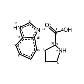 O=C(O)[C@@H]1CCCN1.c1ccc2[nH]cnc2c1